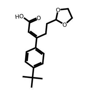 CC(C)(C)c1ccc(C(=CC(=O)O)CCC2OCCO2)cc1